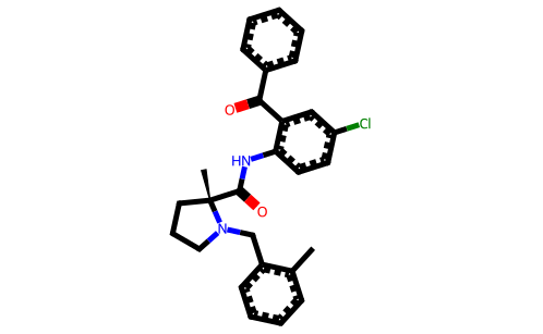 Cc1ccccc1CN1CCC[C@]1(C)C(=O)Nc1ccc(Cl)cc1C(=O)c1ccccc1